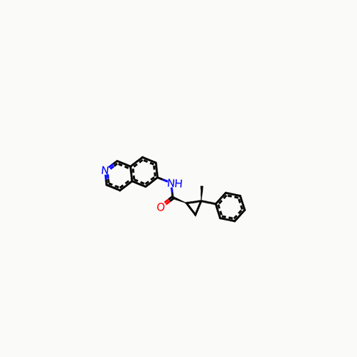 C[C@@]1(c2ccccc2)C[C@H]1C(=O)Nc1ccc2cnccc2c1